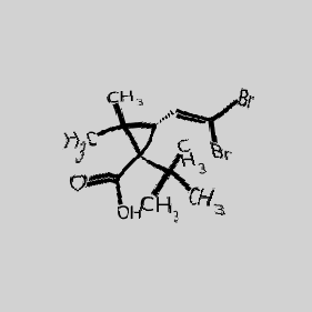 CC(C)(C)[C@]1(C(=O)O)[C@@H](C=C(Br)Br)C1(C)C